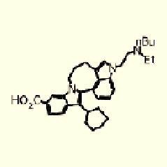 CCCCN(CC)CCn1cc2c3c(cccc31)-c1c(C3CCCCC3)c3ccc(C(=O)O)cc3n1CCC2